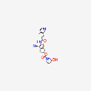 Cc1ccncc1C=CC(=O)Nc1sc2c(c1C#N)CCC(OC(=O)N1CCCC(O)C1)C2